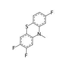 CN1c2cc(F)ccc2Sc2cc(F)c(F)cc21